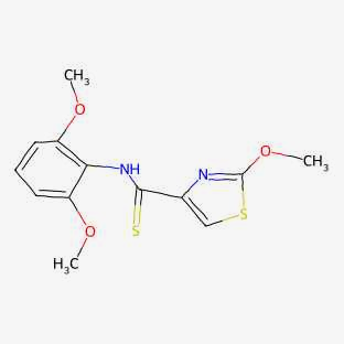 COc1nc(C(=S)Nc2c(OC)cccc2OC)cs1